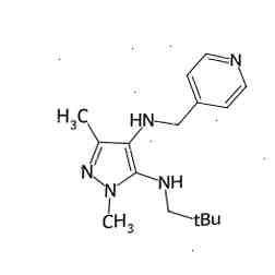 Cc1nn(C)c(NCC(C)(C)C)c1NCc1ccncc1